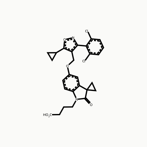 O=C(O)CCCN1C(=O)C2(CC2)c2cc(OCc3c(-c4c(Cl)cccc4Cl)noc3C3CC3)ccc21